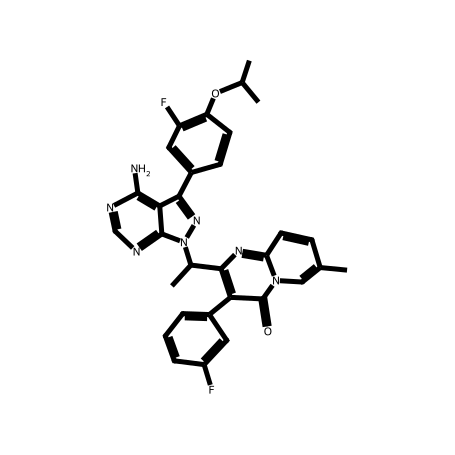 Cc1ccc2nc(C(C)n3nc(-c4ccc(OC(C)C)c(F)c4)c4c(N)ncnc43)c(-c3cccc(F)c3)c(=O)n2c1